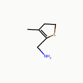 CC1=C(CN)SCC1